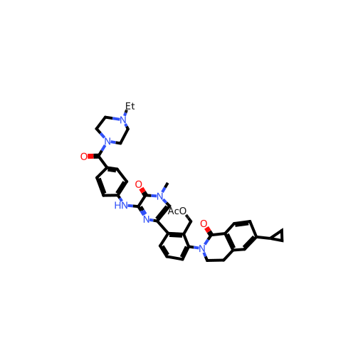 CCN1CCN(C(=O)c2ccc(Nc3nc(-c4cccc(N5CCc6cc(C7CC7)ccc6C5=O)c4COC(C)=O)cn(C)c3=O)cc2)CC1